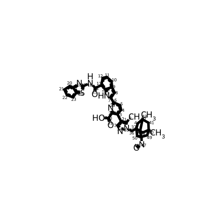 Cc1c(-c2ccc(-c3cc4cccc(C(=O)Nc5nc6ccccc6s5)c4[nH]3)nc2C(=O)O)cnn1CC12CC3(C)CC(C)(C1)CC(N=O)(C3)C2